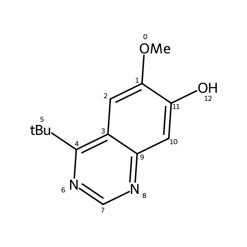 COc1cc2c(C(C)(C)C)ncnc2cc1O